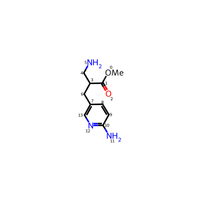 COC(=O)C(CN)Cc1ccc(N)nc1